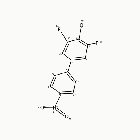 O=[N+]([O-])c1ccc(-c2cc(F)c(O)c(F)c2)cc1